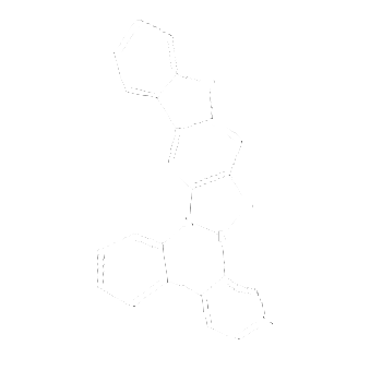 c1ccc2c(c1)-c1ccncc1B1Oc3cc4oc5ccccc5c4cc3N12